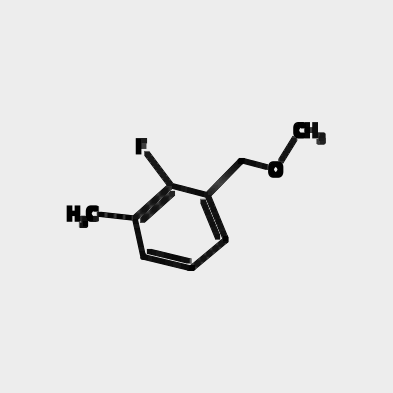 COCc1cccc(C)c1F